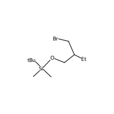 CCC(CBr)CO[Si](C)(C)C(C)(C)C